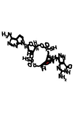 Nc1nc2c(nnn2[C@@H]2O[C@@H]3COP(=O)(S)O[C@H]4C[C@H](n5ccc6c(N)ncnc65)O[C@@H]4COP(=O)(S)C[C@@H]2[C@@H]3O)c(=O)[nH]1